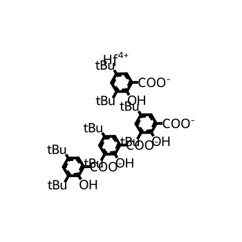 CC(C)(C)c1cc(C(=O)[O-])c(O)c(C(C)(C)C)c1.CC(C)(C)c1cc(C(=O)[O-])c(O)c(C(C)(C)C)c1.CC(C)(C)c1cc(C(=O)[O-])c(O)c(C(C)(C)C)c1.CC(C)(C)c1cc(C(=O)[O-])c(O)c(C(C)(C)C)c1.[Hf+4]